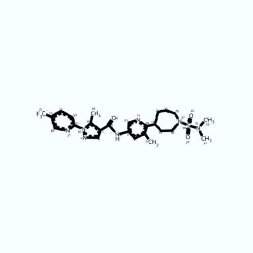 Cc1cc(NC(=O)c2cnn(-c3ccc(C(F)(F)F)cn3)c2C)cnc1C1CCCN(S(=O)(=O)N(C)C)CC1